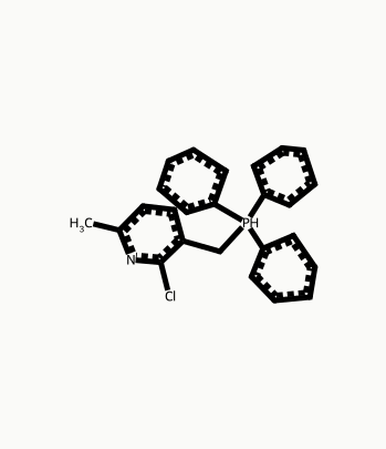 Cc1ccc(C[PH](c2ccccc2)(c2ccccc2)c2ccccc2)c(Cl)n1